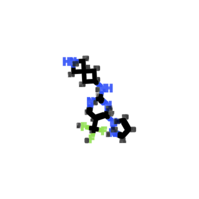 FC(F)(F)c1cnc(NC2CC3(CNC3)C2)nc1-n1cccn1